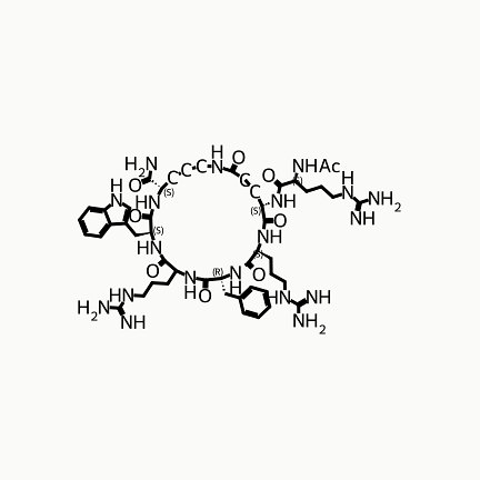 CC(=O)N[C@@H](CCCNC(=N)N)C(=O)N[C@H]1CCC(=O)NCCC[C@@H](C(N)=O)NC(=O)[C@H](Cc2c[nH]c3ccccc23)NC(=O)C(CCCNC(=N)N)NC(=O)[C@@H](Cc2ccccc2)NC(=O)[C@H](CCCNC(=N)N)NC1=O